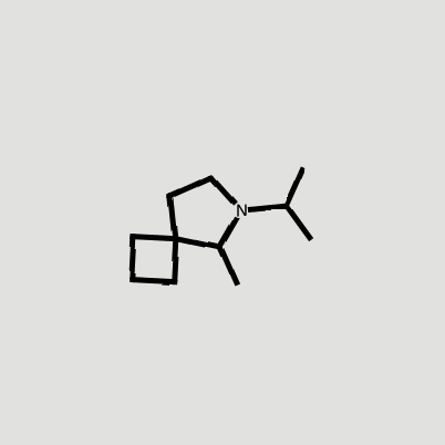 CC(C)N1CCC2(CCC2)C1C